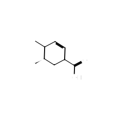 CC1C=CC(C(=O)O)C[C@H]1I